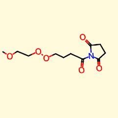 COCCOOCCCC(=O)N1C(=O)CCC1=O